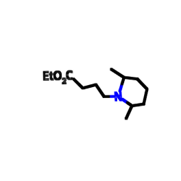 CCOC(=O)CCCN1C(C)CCCC1C